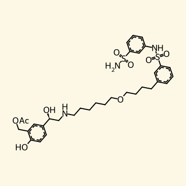 CC(=O)OCc1cc([C@@H](O)CNCCCCCCOCCCCc2cccc(S(=O)(=O)Nc3cccc(S(N)(=O)=O)c3)c2)ccc1O